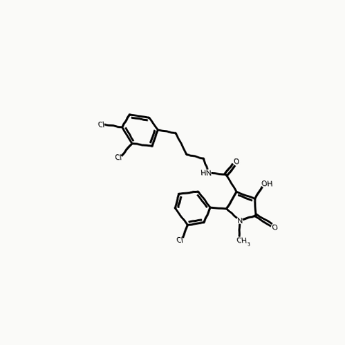 CN1C(=O)C(O)=C(C(=O)NCCCc2ccc(Cl)c(Cl)c2)C1c1cccc(Cl)c1